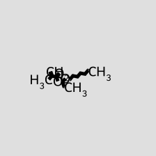 C=C(C)C(=O)OC(CC)OCCCCCCC